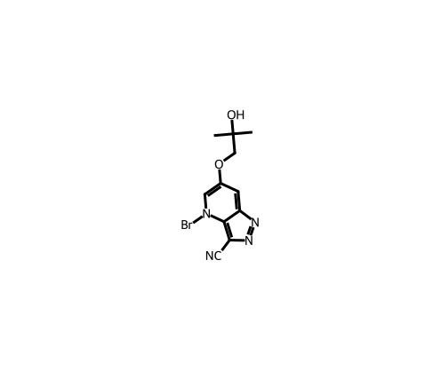 CC(C)(O)COc1cc2nnc(C#N)c-2n(Br)c1